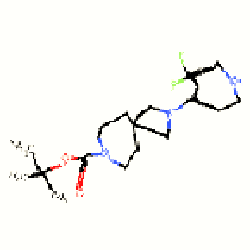 CC(C)(C)OC(=O)N1CCC2(CC1)CN(C1CCNCC1(F)F)C2